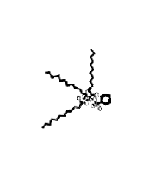 CCCCCCCCCCCC(=O)[O][Zr](=[O])([O]S(=O)(=O)c1ccccc1)([C](=O)CCCCCCCCCCC)[C](=O)CCCCCCCCCCC